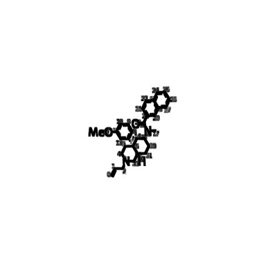 C=CCN1CC[C@@]2(c3cccc(OC)c3)C[C@H](N(C)C(=O)c3ccc4ccccc4c3)CC[C@@H]2C1